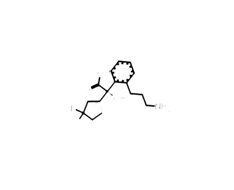 NCCCc1ccccc1[C@@](O)(C(=O)O)[C@@H]1CCC(F)(F)C1